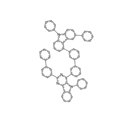 c1ccc(-c2cccc(-c3nc(-c4cccc(-c5cccc(-c6cccc7c6c6cc(-c8ccccc8)ccc6n7-c6ccccc6)c5)c4)c4c(n3)c3ccccc3n4-c3ccccc3)c2)cc1